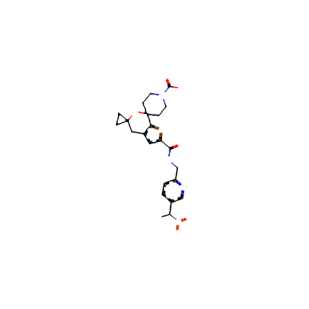 CC(c1ccc(CNC(=O)c2cc3c(s2)C2(CCN(C(=O)O)CC2)OC2(CC2)C3)nc1)[SH](=O)=O